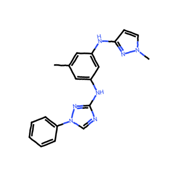 Cc1cc(Nc2ccn(C)n2)cc(Nc2ncn(-c3ccccc3)n2)c1